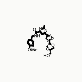 COc1ccc(CNC(=O)c2cc(C3=NO[C@@H]([C@H]4CO[C@H](CO)CO4)C3)nc(C)n2)cc1